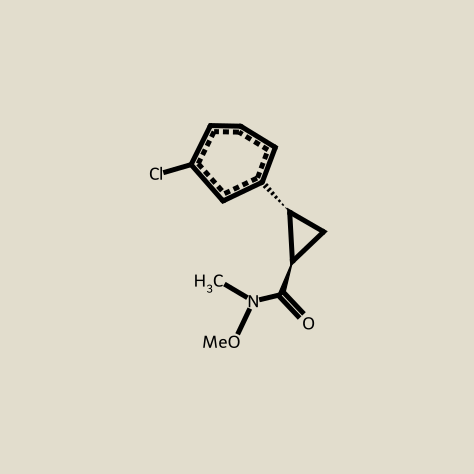 CON(C)C(=O)[C@@H]1C[C@H]1c1cccc(Cl)c1